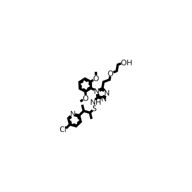 COc1cccc(OC)c1-n1c(CCOCCO)nnc1NSC(C)C(C)c1ccc(Cl)cn1